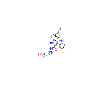 CC(C)(C)C[C@H]1N[C@H](C(=O)Nc2ccn(CC(C)(C)O)n2)[C@@H](c2cccc(CI)c2F)[C@]1(C#N)c1ccc(CI)cc1F